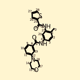 Cc1ccc(NC(=O)c2cccc(N3CCOCC3)c2)cc1NC(=O)c1cccs1